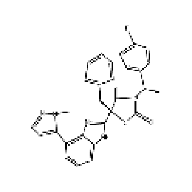 C[C@H](c1ccc(F)cc1)N1C(=O)O[C@](Cc2ccccc2)(c2nc3c(-c4ccnn4C)cccc3[nH]2)C1=O